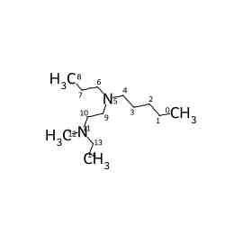 CCCCCN(CCC)CCN(C)CC